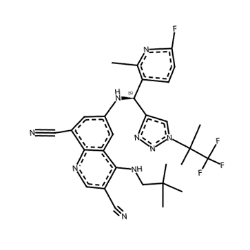 Cc1nc(F)ccc1[C@H](Nc1cc(C#N)c2ncc(C#N)c(NCC(C)(C)C)c2c1)c1cn(C(C)(C)C(F)(F)F)nn1